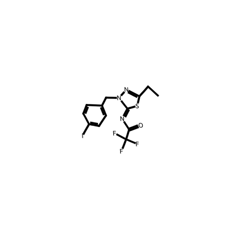 CCc1nn(Cc2ccc(I)cc2)c(=NC(=O)C(F)(F)F)s1